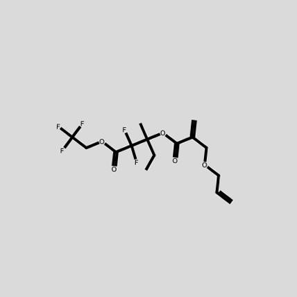 C=CCOCC(=C)C(=O)OC(C)(CC)C(F)(F)C(=O)OCC(F)(F)F